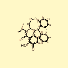 CC(C)N1C(=O)c2c(O)c(=O)ccn2N2C(c3ccccc3)c3ccccc3OCCC12